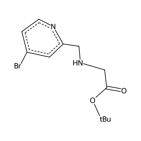 CC(C)(C)OC(=O)CNCc1cc(Br)ccn1